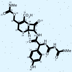 CNC(=O)NC(=O)NC(C(=O)NC1C(=O)N2C(C(=O)O)=C(COC(=O)NC)CS[C@@H]12)c1ccc(O)cc1